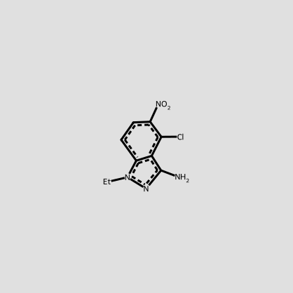 CCn1nc(N)c2c(Cl)c([N+](=O)[O-])ccc21